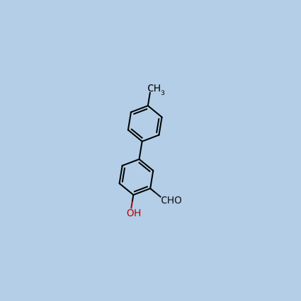 Cc1ccc(-c2ccc(O)c(C=O)c2)cc1